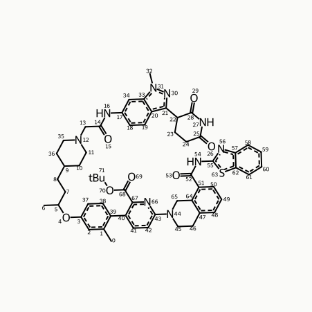 Cc1cc(OC(C)CCC2CCN(CC(=O)Nc3ccc4c(C5CCC(=O)NC5=O)nn(C)c4c3)CC2)ccc1-c1ccc(N2CCc3cccc(C(=O)Nc4nc5ccccc5s4)c3C2)nc1C(=O)OC(C)(C)C